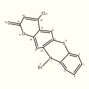 CCN1c2ccccc2Sc2cc3c(Cl)cc(=O)oc3cc21